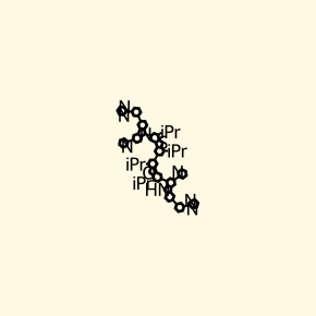 CC(C)c1cc(-c2cc(C(C)C)c3sc4c(C(C)C)cc(-n5c6ccc(-c7cccc(-c8ncccn8)c7)cc6c6cc(-c7ccccn7)ccc65)cc4c3c2)cc2c1oc1c(C(C)C)cc(-c3cc(-c4ccccn4)cc4c3[nH]c3ccc(-c5cccc(-c6ncccn6)c5)cc34)cc12